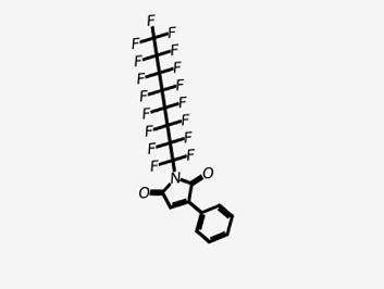 O=C1C=C(c2ccccc2)C(=O)N1C(F)(F)C(F)(F)C(F)(F)C(F)(F)C(F)(F)C(F)(F)C(F)(F)C(F)(F)F